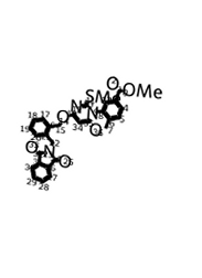 COC(=O)c1ccc(C)c(-n2c(SC)nc(OCc3ccccc3CN3C(=O)c4ccccc4C3=O)cc2=O)c1